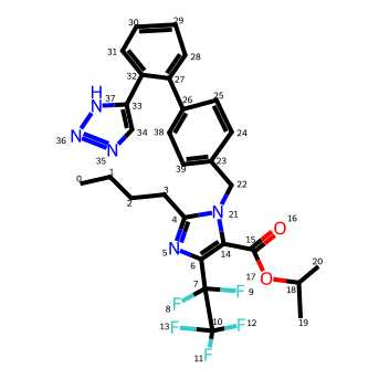 CCCCc1nc(C(F)(F)C(F)(F)F)c(C(=O)OC(C)C)n1Cc1ccc(-c2ccccc2-c2cnn[nH]2)cc1